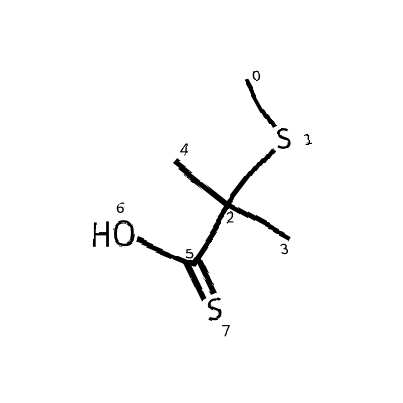 CSC(C)(C)C(O)=S